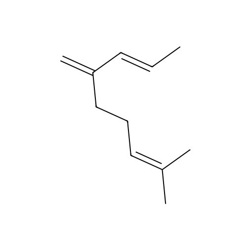 C=C(C=CC)CCC=C(C)C